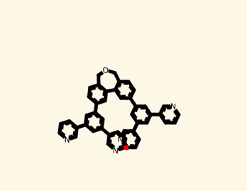 c1cncc(-c2cc(-c3cccnc3)cc(-c3ccc4c(c3)-c3cc(-c5cc(-c6cccnc6)cc(-c6cccnc6)c5)ccc3COC4)c2)c1